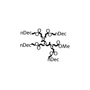 CCCCCCCCCCCCOC(=O)CCN(CC(C)N(CCC(=O)OC)CCC(=O)OCCCCCCCCCCCC)CC(C)N(CCC(=O)OCCCCCCCCCCCC)CCC(=O)OCCCCCCCCCCCC